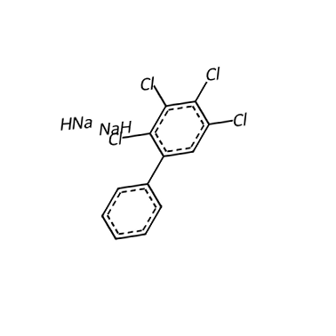 Clc1cc(-c2ccccc2)c(Cl)c(Cl)c1Cl.[NaH].[NaH]